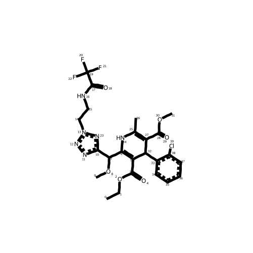 CCOC(=O)C1=C(C(OC)c2nnn(CCNC(=O)C(F)(F)F)n2)NC(C)=C(C(=O)OC)C1c1ccccc1Cl